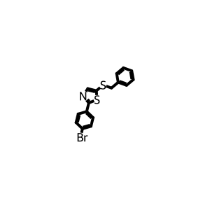 Brc1ccc(-c2ncc(SCc3ccccc3)s2)cc1